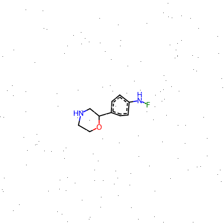 FNc1ccc(C2CNCCO2)cc1